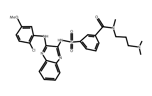 COc1ccc(Cl)c(Nc2nc3ccccc3nc2NS(=O)(=O)c2cccc(C(=O)N(C)CCCN(C)C)c2)c1